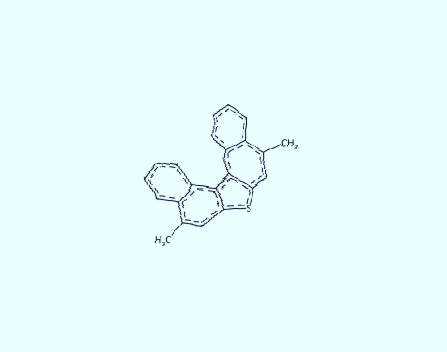 Cc1cc2sc3cc(C)c4ccccc4c3c2c2ccccc12